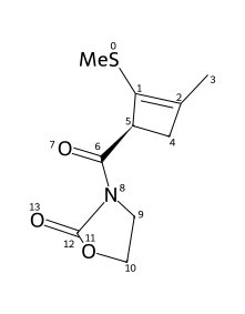 CSC1=C(C)C[C@H]1C(=O)N1CCOC1=O